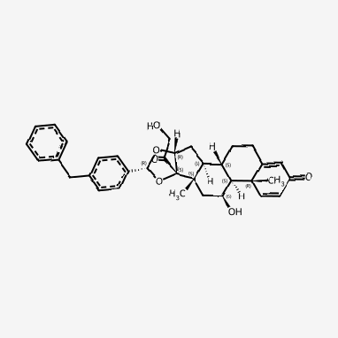 C[C@]12C=CC(=O)C=C1CC[C@@H]1[C@@H]2[C@@H](O)C[C@@]2(C)[C@H]1C[C@H]1O[C@@H](c3ccc(Cc4ccccc4)cc3)O[C@]12C(=O)CO